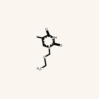 CCOCn1cc(I)c(=O)[nH]c1=O